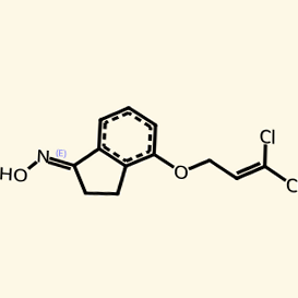 O/N=C1\CCc2c(OCC=C(Cl)Cl)cccc21